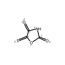 O=C1NC(=O)C(=S)O1